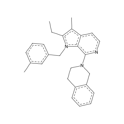 CCc1c(C)c2ccnc(N3CCc4ccccc4C3)c2n1Cc1cccc(C)c1